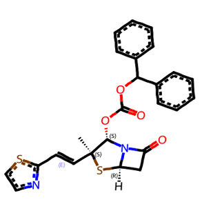 C[C@@]1(/C=C/c2nccs2)S[C@@H]2CC(=O)N2[C@H]1OC(=O)OC(c1ccccc1)c1ccccc1